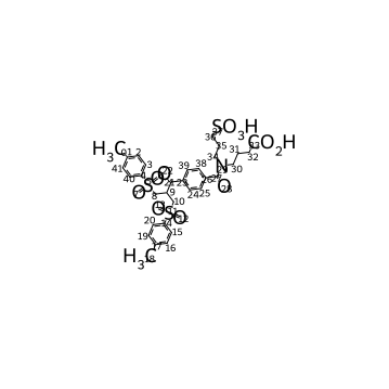 Cc1ccc(S(=O)(=O)CC(CS(=O)(=O)c2ccc(C)cc2)C(=O)c2ccc(C(=O)N(CCCC(=O)O)CCCS(=O)(=O)O)cc2)cc1